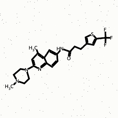 Cc1cc(N2CCN(C)CC2)nc2ccc(NC(=O)CCc3csc(C(F)(F)F)c3)cc12